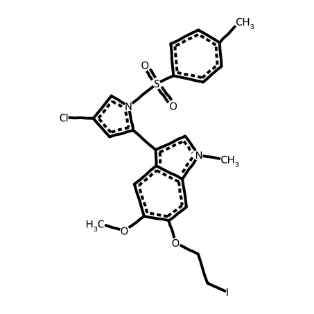 COc1cc2c(-c3cc(Cl)cn3S(=O)(=O)c3ccc(C)cc3)cn(C)c2cc1OCCI